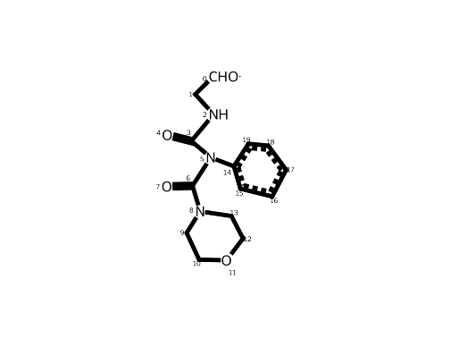 O=[C]CNC(=O)N(C(=O)N1CCOCC1)c1ccccc1